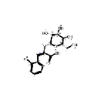 O=C(O)/C(=C\c1ccccc1Br)O[C@H]1O[C@@H](CO)[C@H](O)[C@H](O)[C@H]1O